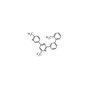 Cc1ccc(-c2cc(C(F)(F)F)nc(-c3cccc(-c4ccccc4C)c3)n2)cn1